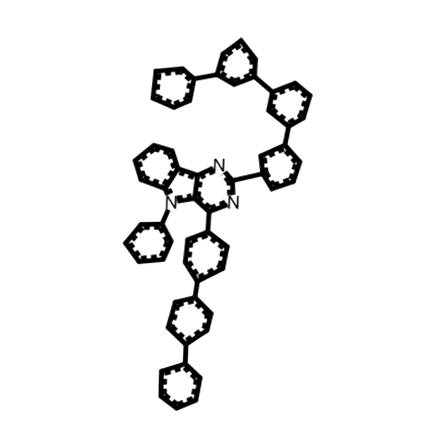 c1ccc(-c2ccc(-c3ccc(-c4nc(-c5cccc(-c6cccc(-c7cccc(-c8ccccc8)c7)c6)c5)nc5c6ccccc6n(-c6ccccc6)c45)cc3)cc2)cc1